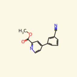 COC(=O)c1cc(-c2cccc(C#N)c2)ccn1